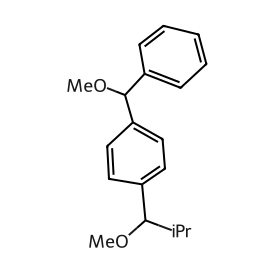 COC(c1ccccc1)c1ccc(C(OC)C(C)C)cc1